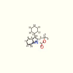 CC(C)(C)OC=O.c1cc2c(C3CCCCC3)cn3c2cc1-3